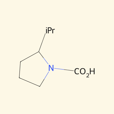 CC(C)C1CCCN1C(=O)O